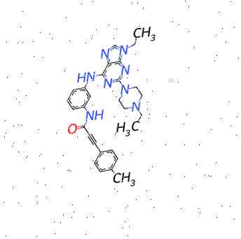 CCN1CCN(c2nc(Nc3cccc(NC(=O)C#Cc4ccc(C)cc4)c3)c3ncn(CC)c3n2)CC1